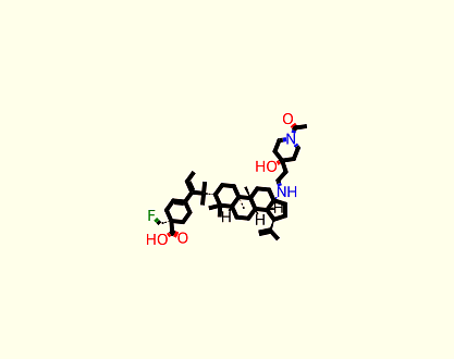 C=C(C)[C@@H]1CC[C@]2(NCCC3(O)CCN(C(C)=O)CC3)CC[C@]3(C)[C@H](CC[C@@H]4C(C)(C)[C@H](C(C)(C)/C(=C\C)C5=CC[C@](CF)(C(=O)O)CC5)CC[C@]43C)[C@@H]12